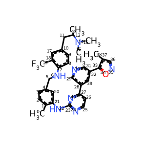 Cc1ccc(CNc2ccc(CC(C)N(C)C)cc2C(F)(F)F)cc1Nc1nccc(-c2cncc(-c3oncc3C)c2)n1